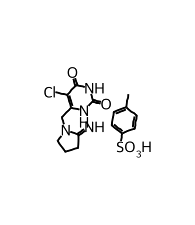 Cc1ccc(S(=O)(=O)O)cc1.N=C1CCCN1Cc1[nH]c(=O)[nH]c(=O)c1Cl